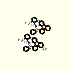 Cc1cccc(C)c1[NH][Hf+]([c]1cccc2c1Cc1ccccc1-2)[SiH](c1ccccc1)c1ccccc1.Cc1cccc(C)c1[NH][Hf+]([c]1cccc2c1Cc1ccccc1-2)[SiH](c1ccccc1)c1ccccc1.[Cl-].[Cl-]